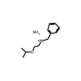 CC(C)OCCNCc1ccccc1.N